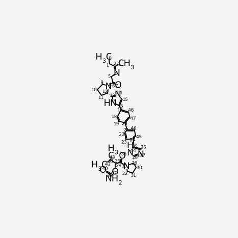 CCC(C)=NCC(=O)N1CCC[C@H]1c1ncc(-c2ccc(-c3ccc(-c4cnc([C@@H]5CCCN5C(=O)[C@@H](OC(N)=O)C(C)C)[nH]4)cc3)cc2)[nH]1